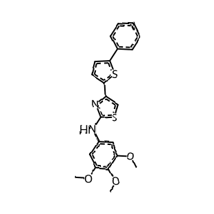 COc1cc(Nc2nc(-c3ccc(-c4ccccc4)s3)cs2)cc(OC)c1OC